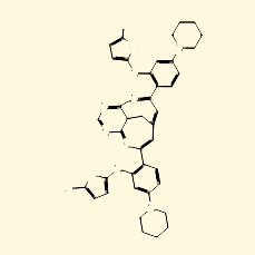 CC(C)(C)c1ccc(Nc2cc(N3CCCCC3)ccc2C2=CC3=CC(c4ccc(N5CCCCC5)cc4Nc4ccc(C(C)(C)C)o4)=NC4=NC=NC(=N2)C4C3)o1